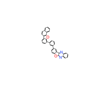 c1cc(-c2ccc3oc4nc5ccccc5nc4c3c2)cc(-c2cccc3c2oc2c4ccccc4ccc32)c1